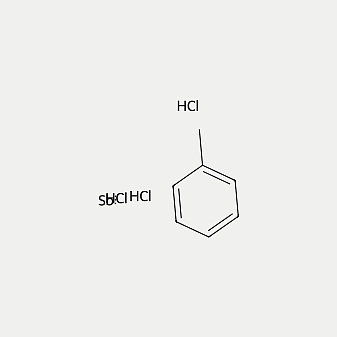 Cc1ccccc1.Cl.Cl.Cl.[Sb]